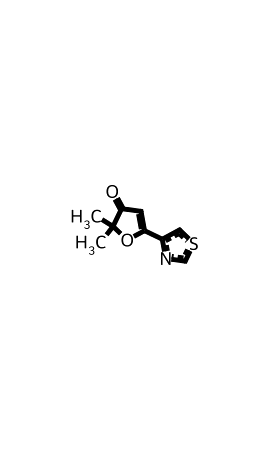 CC1(C)OC(c2cscn2)=CC1=O